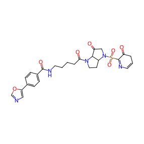 O=C1CC=CN=C1S(=O)(=O)N1CC(=O)C2C1CCN2C(=O)CCCCNC(=O)c1ccc(-c2cnco2)cc1